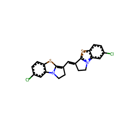 Clc1ccc2c(c1)N1CCC(C=C3CC[n+]4c3sc3ccc(Cl)cc34)=C1S2